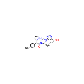 C[C@@H]1C[C@@H](O)c2ncnc(N3CCN(C(=O)[C@@H](c4ccc(C#N)cc4)C4CCCN4)CC3)c21